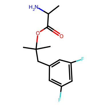 CC(N)C(=O)OC(C)(C)Cc1cc(F)cc(F)c1